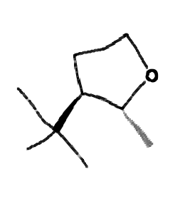 C[C@H]1OCC[C@@H]1C(C)(C)C